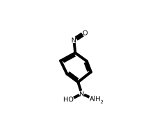 O=Nc1ccc([N](O)[AlH2])cc1